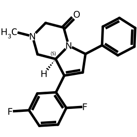 CN1CC(=O)N2C(c3ccccc3)C=C(c3cc(F)ccc3F)[C@H]2C1